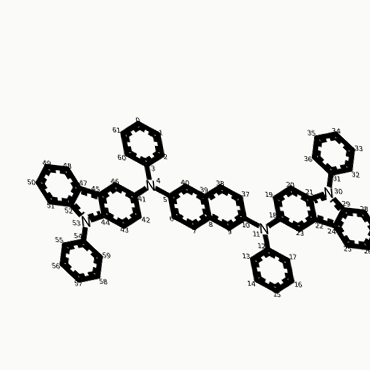 c1ccc(N(c2ccc3cc(N(c4ccccc4)c4ccc5c(c4)c4ccccc4n5-c4ccccc4)ccc3c2)c2ccc3c(c2)c2ccccc2n3-c2ccccc2)cc1